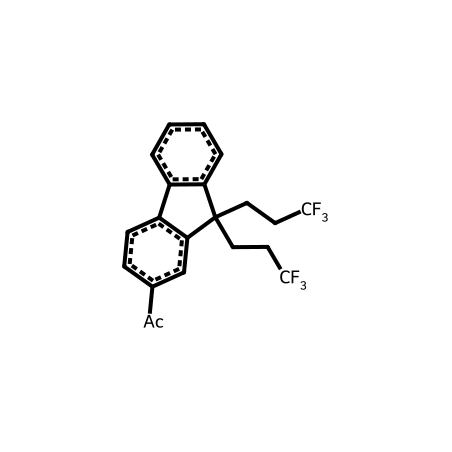 CC(=O)c1ccc2c(c1)C(CCC(F)(F)F)(CCC(F)(F)F)c1ccccc1-2